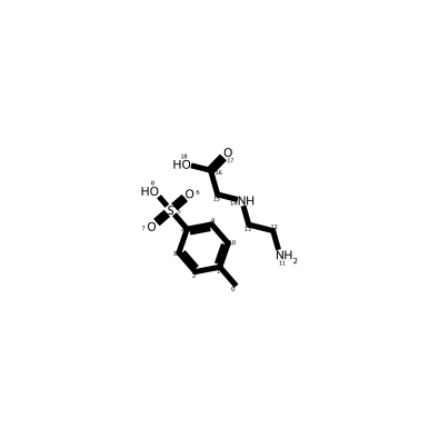 Cc1ccc(S(=O)(=O)O)cc1.NCCNCC(=O)O